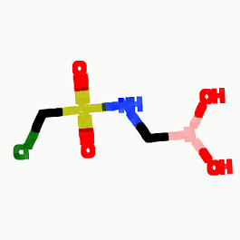 O=S(=O)(CCl)NCB(O)O